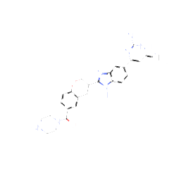 C=C/C=C(\N=C(N)N)c1ccc2[nH]c(C3COc4ccc(C(=O)N5CCN(C)CC5)cc4C3)nc2c1